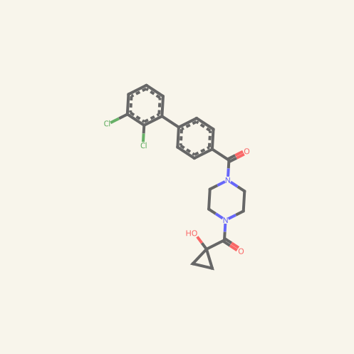 O=C(c1ccc(-c2cccc(Cl)c2Cl)cc1)N1CCN(C(=O)C2(O)CC2)CC1